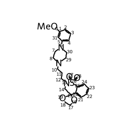 COc1cccc(N2CCN(CCCN3CC4(OCCO4)c4ccccc4S3(=O)=O)CC2)c1